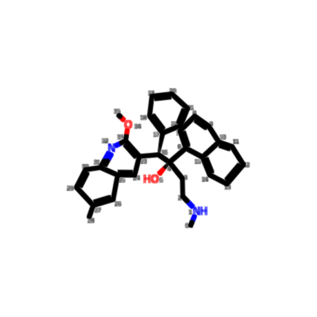 CNCC[C@@](O)(c1cccc2ccccc12)[C@H](c1ccccc1)c1cc2cc(C)ccc2nc1OC